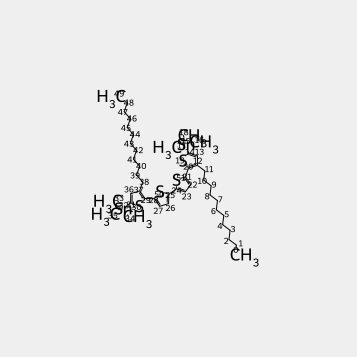 CCCCCCCCCCCCc1c[c]([Sn]([CH3])([CH3])[CH3])sc1-c1ccc(-c2ccc(-c3s[c]([Sn]([CH3])([CH3])[CH3])cc3CCCCCCCCCCCC)s2)s1